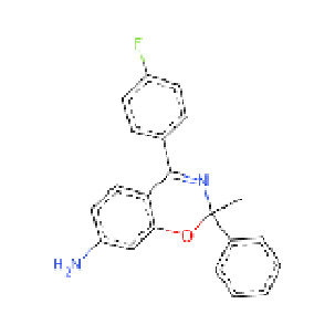 CC1(c2ccccc2)N=C(c2ccc(F)cc2)c2ccc(N)cc2O1